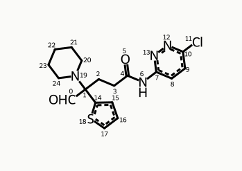 O=CC(CCC(=O)Nc1ccc(Cl)nn1)(c1cccs1)N1CCCCC1